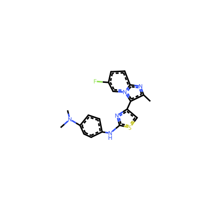 Cc1nc2ccc(F)cn2c1-c1csc(Nc2ccc(N(C)C)cc2)n1